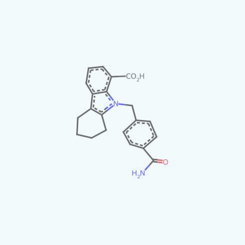 NC(=O)c1ccc(Cn2c3c(c4cccc(C(=O)O)c42)CCCC3)cc1